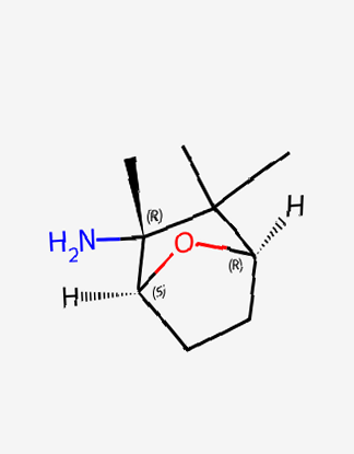 CC1(C)[C@H]2CC[C@H](O2)[C@]1(C)N